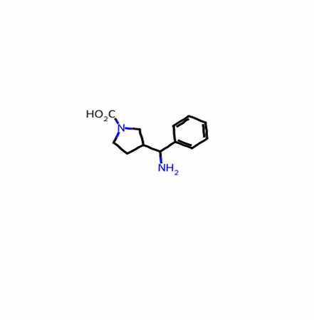 NC(c1ccccc1)C1CCN(C(=O)O)C1